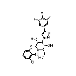 OC[C@H]1O[C@H](Sc2cccc(Cl)c2Cl)[C@H](O)[C@@H](n2cc(-c3cc(F)c(F)c(F)c3)nn2)[C@H]1O